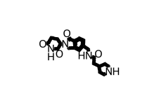 O=C(CC1CCNCC1)NCc1ccc2c(c1)CN(C1CCC(=O)NC1=O)C2=O